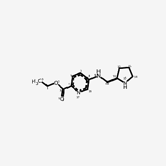 CCOC(=O)c1ccc(NCC2CCCN2)cn1